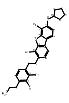 CCCc1ccc(CCc2ccc3c(oc4c(F)c(OC5CCCC5)ccc43)c2F)c(F)c1F